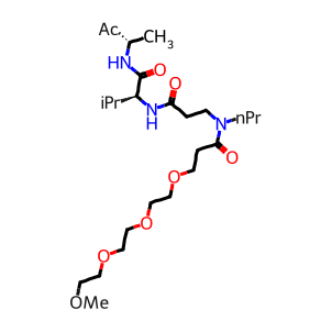 CCCN(CCC(=O)N[C@H](C(=O)N[C@@H](C)C(C)=O)C(C)C)C(=O)CCOCCOCCOCCOC